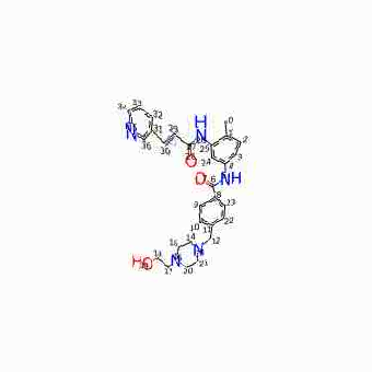 Cc1ccc(NC(=O)c2ccc(CN3CCN(CCO)CC3)cc2)cc1NC(=O)/C=C/c1cccnc1